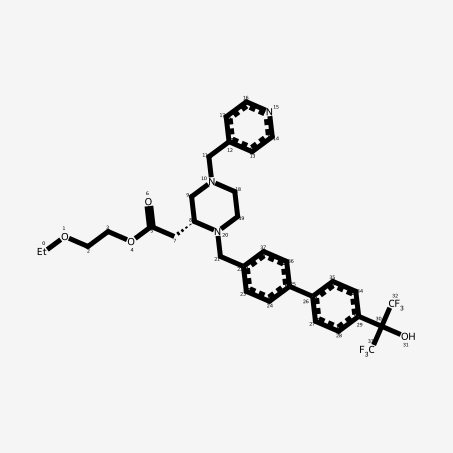 CCOCCOC(=O)C[C@@H]1CN(Cc2ccncc2)CCN1Cc1ccc(-c2ccc(C(O)(C(F)(F)F)C(F)(F)F)cc2)cc1